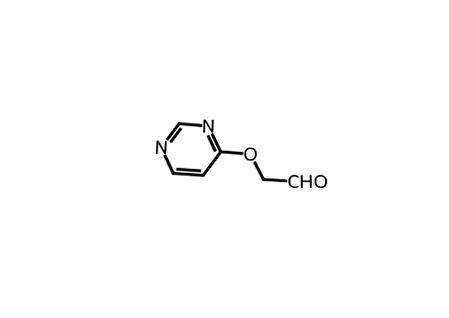 O=CCOc1ccncn1